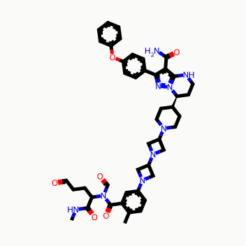 CNC(=O)C(CCC=O)N(C=O)C(=O)c1cc(N2CC(N3CC(N4CCC([C@@H]5CCNc6c(C(N)=O)c(-c7ccc(Oc8ccccc8)cc7)nn65)CC4)C3)C2)ccc1C